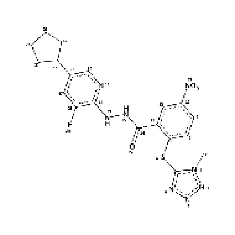 Cn1nnnc1Sc1ccc([N+](=O)[O-])cc1C(=O)NNc1ncc(C2CCCC2)cc1F